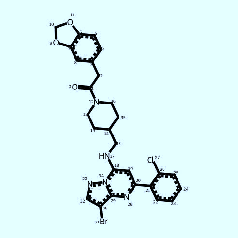 O=C(Cc1ccc2c(c1)OCO2)N1CCC(CNc2cc(-c3ccccc3Cl)nc3c(Br)cnn23)CC1